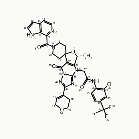 C[C@H]1OC2(CCN(C(=O)c3nccc4cc[nH]c34)CC2)c2c1n(CC(=O)Nc1ccc(C(F)(F)F)cc1Cl)c1nc(C3=CCOCC3)nn1c2=O